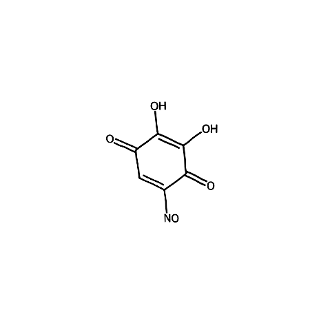 O=NC1=CC(=O)C(O)=C(O)C1=O